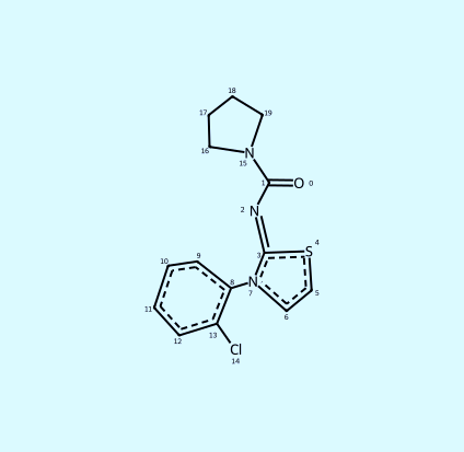 O=C(N=c1sccn1-c1ccccc1Cl)N1CCCC1